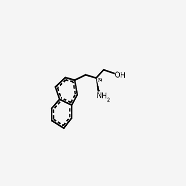 N[C@H](CO)Cc1ccc2ccccc2c1